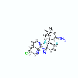 NC1=C[C@](CF)(c2cc(Nc3nccc4cc(Cl)cnc34)ccc2F)[C@H]2C[C@H]2C1